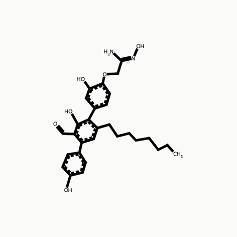 CCCCCCCCc1cc(-c2ccc(O)cc2)c(C=O)c(O)c1-c1ccc(OC/C(N)=N/O)c(O)c1